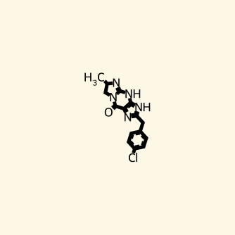 CC1CN2C(=O)c3nc(Cc4ccc(Cl)cc4)[nH]c3NC2=N1